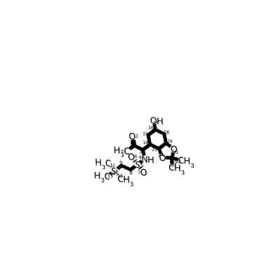 CC(=O)C(NS(=O)(=O)CC[Si](C)(C)C)C1CC(O)CC2OC(C)(C)OC21